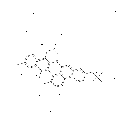 Cc1ccc2c(CC(C)C)c3c(c(C)c2c1)-c1c2c(cc4cc(CC(C)(C)C)ccc4c2cc[n+]1C)S3